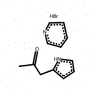 Br.CC(=O)Cc1ccc[nH]1.c1ccncc1